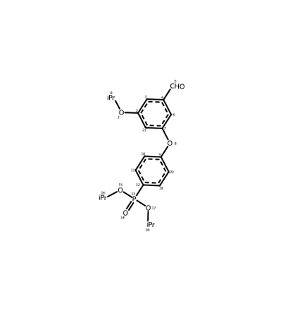 CC(C)Oc1cc(C=O)cc(Oc2ccc(P(=O)(OC(C)C)OC(C)C)cc2)c1